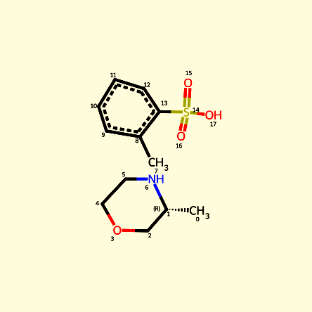 C[C@@H]1COCCN1.Cc1ccccc1S(=O)(=O)O